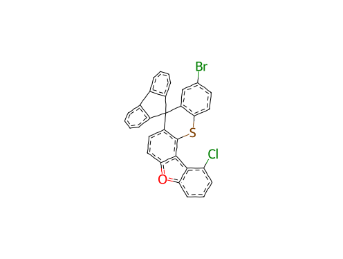 Clc1cccc2oc3ccc4c(c3c12)Sc1ccc(Br)cc1C41c2ccccc2-c2ccccc21